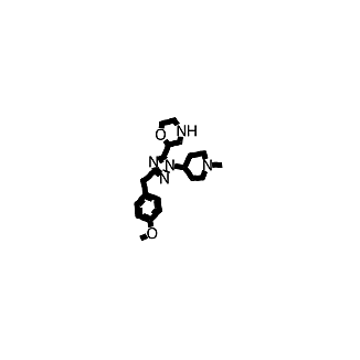 COc1ccc(Cc2nc(C3CNCCO3)n(C3CCN(C)CC3)n2)cc1